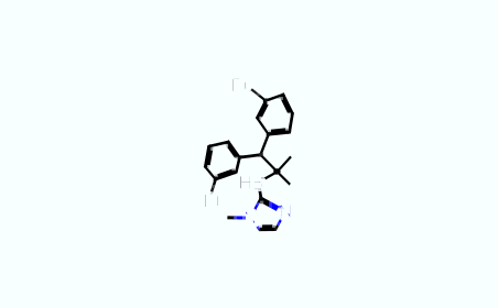 CCc1cccc(C(c2cccc(CC)c2)C(C)(C)Bc2nccn2C)c1